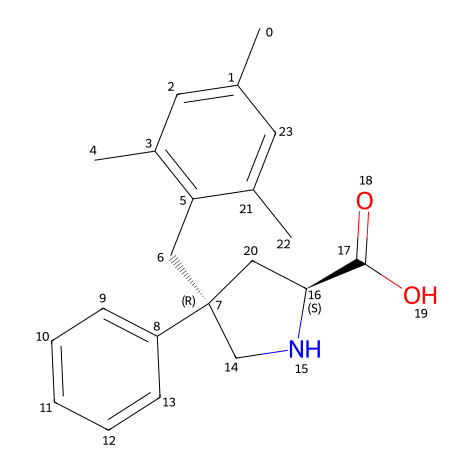 Cc1cc(C)c(C[C@@]2(c3ccccc3)CN[C@H](C(=O)O)C2)c(C)c1